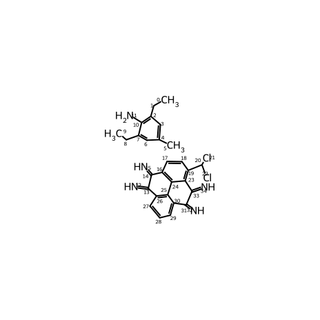 CCc1cc(C)cc(CC)c1N.N=c1c(=N)c2ccc(C(Cl)Cl)c3c2-c2c1cccc2c(=N)c3=N